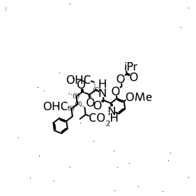 COc1ccnc(C(=O)N[C@@H](CC=O)C(=O)C(=O)[C@@H](C)[C@H](CC(C)C(=O)O)[C@@H](C=O)Cc2ccccc2)c1OCOC(=O)C(C)C